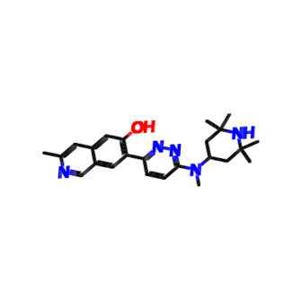 Cc1cc2cc(O)c(-c3ccc(N(C)C4CC(C)(C)NC(C)(C)C4)nn3)cc2cn1